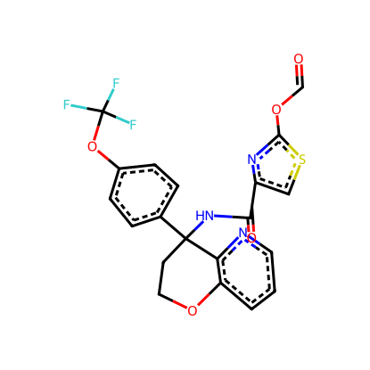 O=COc1nc(C(=O)NC2(c3ccc(OC(F)(F)F)cc3)CCOc3cccnc32)cs1